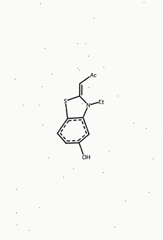 CCN1/C(=C\C(C)=O)Sc2ccc(O)cc21